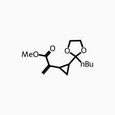 C=C(C(=O)OC)C1CC1C1(CCCC)OCCO1